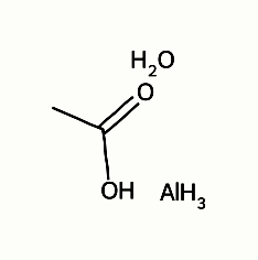 CC(=O)O.O.[AlH3]